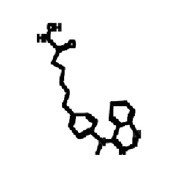 CN(c1ccc(CCCCCC(=O)NO)cc1)c1ncnc2ccccc12